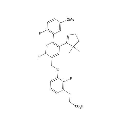 COc1ccc(F)c(-c2cc(F)c(COc3cccc(CCC(=O)O)c3F)cc2C2=CCCC2(C)C)c1